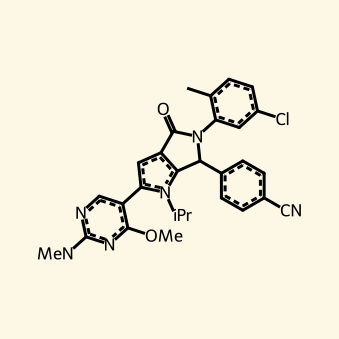 CNc1ncc(-c2cc3c(n2C(C)C)C(c2ccc(C#N)cc2)N(c2cc(Cl)ccc2C)C3=O)c(OC)n1